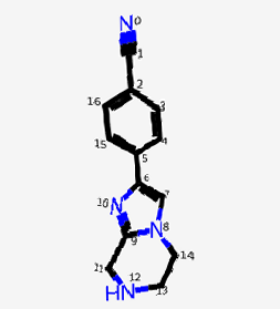 N#Cc1ccc(-c2cn3c(n2)CNCC3)cc1